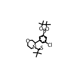 CC(C)(C)C(=S)N1CCOCC1c1cc(Cl)cc(B2OC(C)(C)C(C)(C)O2)c1